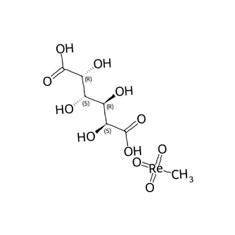 O=C(O)[C@@H](O)[C@H](O)[C@H](O)[C@@H](O)C(=O)O.[CH3][Re](=[O])(=[O])=[O]